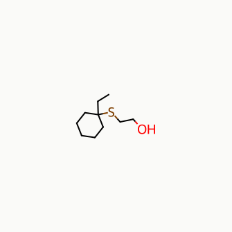 CCC1(SCCO)CCCCC1